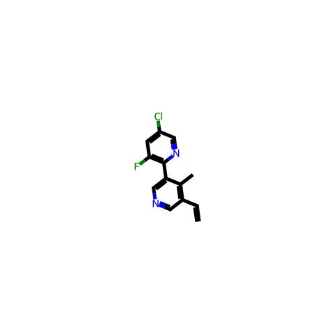 C=Cc1cncc(-c2ncc(Cl)cc2F)c1C